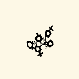 Cc1cc2c3c(c1)N1c4c(cc(C(C)(C)C)cc4C4(C)CCCCC14C)B3c1sc3ccccc3c1N2c1ccc(C(C)(C)C)cc1